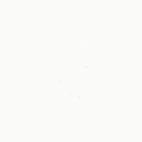 CCn1ncc2c(NC3CCOCC3)c(CCl)c(C)nc21